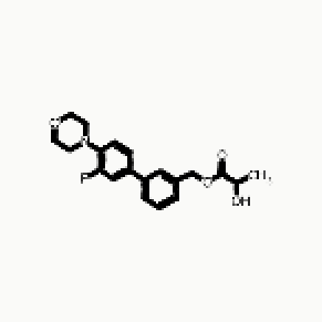 CC(O)C(=O)OCc1cccc(-c2ccc(N3CCOCC3)c(F)c2)c1